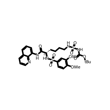 COc1ccc(S(=O)(=O)N[C@@H](CCCCNS(=O)(=O)NC(=O)OC(C)(C)C)C(=O)Nc2cccc3cccnc23)cc1OC